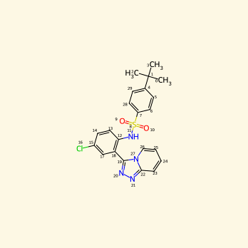 CC(C)(C)c1ccc(S(=O)(=O)Nc2ccc(Cl)cc2-c2nnc3ccccn23)cc1